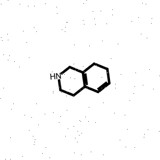 C1=CC2=C(CC1)CNCC2